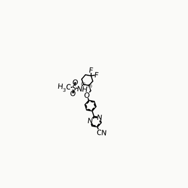 CS(=O)(=O)N[C@H]1CCC(F)(F)C[C@H]1COc1ccc(-c2ncc(C#N)cn2)cc1